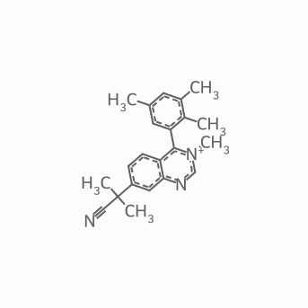 Cc1cc(C)c(C)c(-c2c3ccc(C(C)(C)C#N)cc3nc[n+]2C)c1